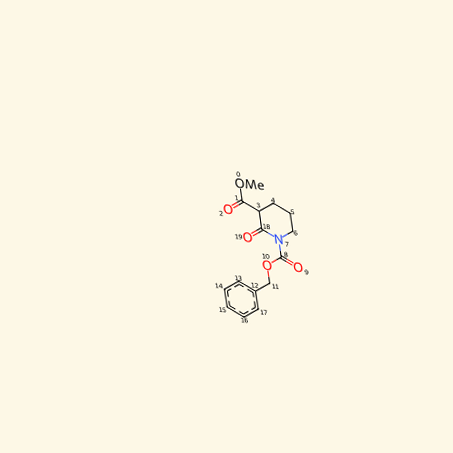 COC(=O)C1CCCN(C(=O)OCc2ccccc2)C1=O